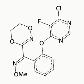 CO/N=C(/C1=NOCCO1)c1ccccc1Oc1ncnc(Cl)c1F